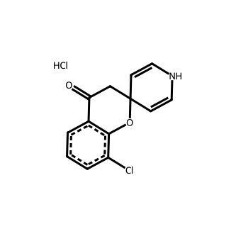 Cl.O=C1CC2(C=CNC=C2)Oc2c(Cl)cccc21